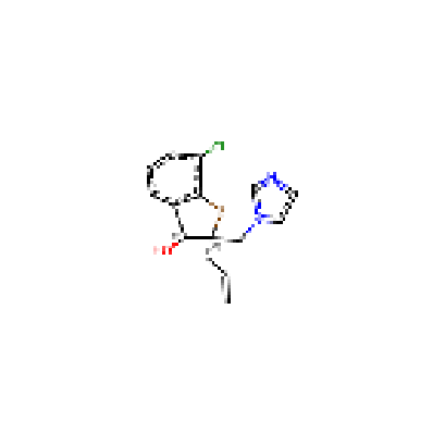 C=CC[C@@]1(Cn2ccnc2)Sc2c(Cl)cccc2[C@@H]1O